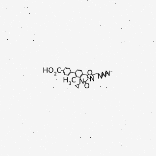 Cc1c(-c2ccc(C(=O)O)cc2)ccc2c3oc(CN=[N+]=[N-])nc3c(=O)n(C3CC3)c12